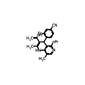 C=C(CCC)C1=C(C)Nc2c(C)cnc(CCC)c2C1c1ccc(C#N)cc1CC